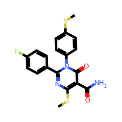 CSc1ccc(-n2c(-c3ccc(F)cc3)nc(SC)c(C(N)=O)c2=O)cc1